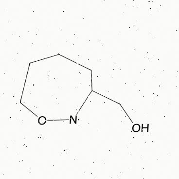 OCC1CCCCO[N]1